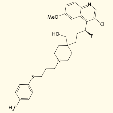 COc1ccc2ncc(Cl)c([C@@H](F)CCC3(CO)CCN(CCCSc4ccc(C)cc4)CC3)c2c1